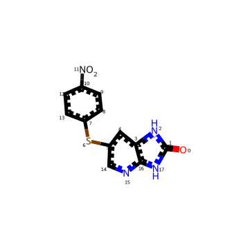 O=c1[nH]c2cc(Sc3ccc([N+](=O)[O-])cc3)cnc2[nH]1